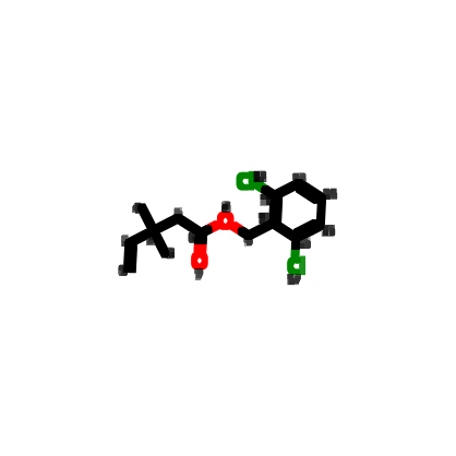 C=CC(C)(C)CC(=O)OCc1c(Cl)cccc1Cl